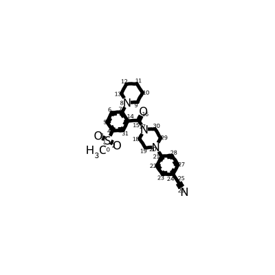 CS(=O)(=O)c1ccc(N2CCCCC2)c(C(=O)N2CCN(c3ccc(C#N)cc3)CC2)c1